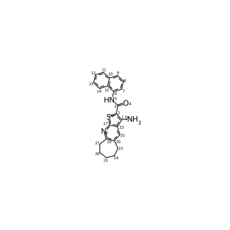 Nc1c(C(=O)Nc2cccc3ccccc23)sc2nc3c(cc12)CCCCC3